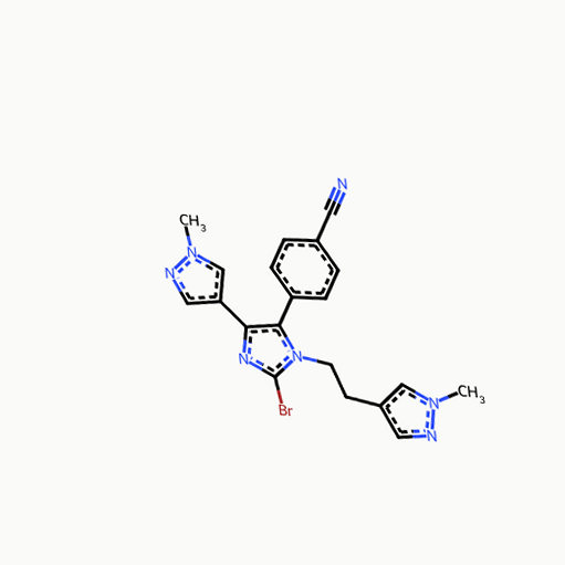 Cn1cc(CCn2c(Br)nc(-c3cnn(C)c3)c2-c2ccc(C#N)cc2)cn1